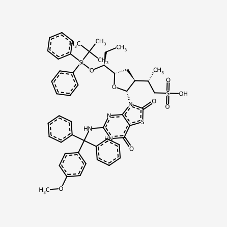 CC[C@H](O[Si](c1ccccc1)(c1ccccc1)C(C)(C)C)[C@@H]1C[C@@H]([C@H](C)CS(=O)(=O)O)[C@H](n2c(=O)sc3c(=O)[nH]c(NC(c4ccccc4)(c4ccccc4)c4ccc(OC)cc4)nc32)O1